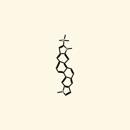 Cn1ccc2cc3ccc4c5cc6c(cc([Si](C)(C)C)n6C)cc5ccc4c3cc21